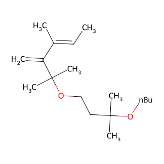 C=C(/C(C)=C/C)C(C)(C)OCCC(C)(C)OCCCC